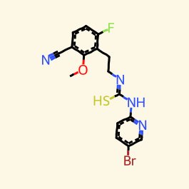 COc1c(C#N)ccc(F)c1CC/N=C(\S)Nc1ccc(Br)cn1